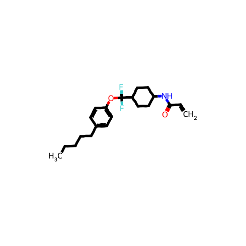 C=CC(=O)NC1CCC(C(F)(F)Oc2ccc(CCCCC)cc2)CC1